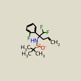 C=CCC(N[S+]([O-])C(C)(C)C)(c1ccccc1F)C(F)F